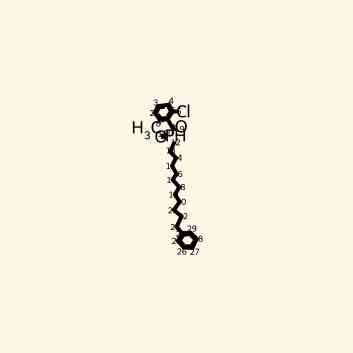 Cc1cccc(Cl)c1C(=O)[PH](=O)CCCCCCCCCCCCc1ccccc1